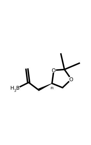 BC(=C)C[C@@H]1COC(C)(C)O1